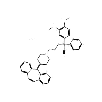 COc1ccc(C(C#N)(CCCN2CCC(=C3c4ccccc4C=Cc4ccccc43)CC2)c2ccccc2)cc1OC.Cl